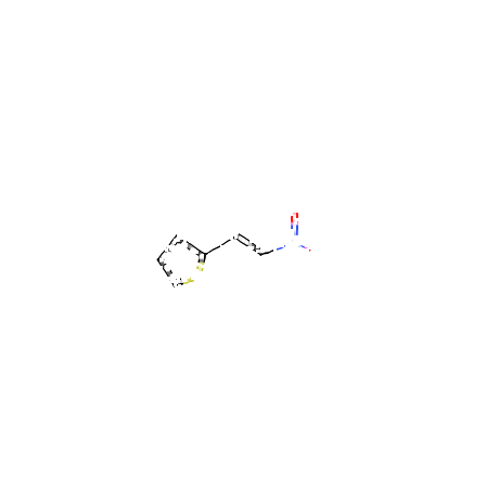 O=[N+]([O-])C=Cc1cccs1